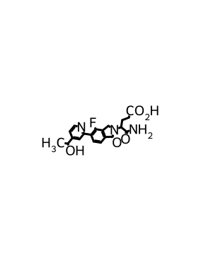 CC(O)c1ccnc(-c2ccc3c(c2F)CN(C(CCC(=O)O)C(N)=O)C3=O)c1